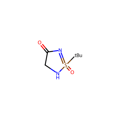 CC(C)(C)S1(=O)=NC(=O)CN1